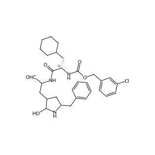 O=CC(CC1CC(Cc2ccccc2)NC1O)NC(=O)[C@H](CC1CCCCC1)NC(=O)OCc1cccc(Cl)c1